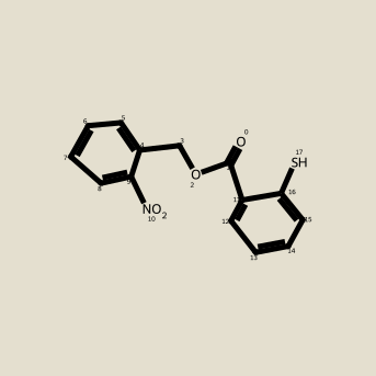 O=C(OCc1ccccc1[N+](=O)[O-])c1ccccc1S